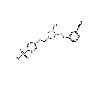 C[C@@H]1C[C@H](COc2ccc(S(C)(=O)=O)nc2)CN1CCc1cccc(C#N)c1